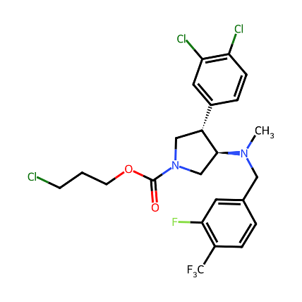 CN(Cc1ccc(C(F)(F)F)c(F)c1)[C@H]1CN(C(=O)OCCCCl)C[C@@H]1c1ccc(Cl)c(Cl)c1